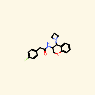 O=C(Cc1ccc(F)cc1)NC1COc2ccccc2C1N1CCC1